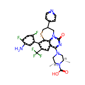 C[C@@H]1CN(c2nc(=O)n3c4c(c(-c5cc(N)c(F)cc5F)c(C(F)(F)F)cc24)SCC(c2ccncc2)C3)C[C@H](C)N1C(=O)O